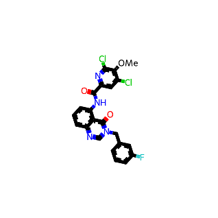 COc1c(Cl)cc(C(=O)Nc2cccc3ncn(Cc4cccc(F)c4)c(=O)c23)nc1Cl